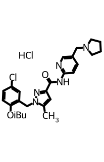 Cc1cc(C(=O)Nc2ccc(CN3CCCC3)cn2)nn1Cc1cc(Cl)ccc1OCC(C)C.Cl